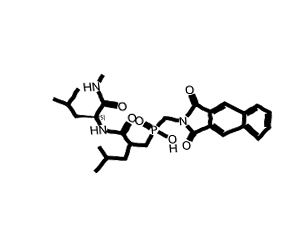 CNC(=O)[C@H](CC(C)C)NC(=O)C(CC(C)C)CP(=O)(O)CN1C(=O)c2cc3ccccc3cc2C1=O